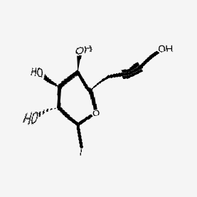 OC#C[C@H]1OC(I)[C@H](O)[C@@H](O)[C@H]1O